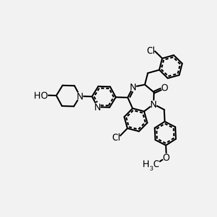 COc1ccc(CN2C(=O)C(Cc3ccccc3Cl)N=C(c3ccc(N4CCC(O)CC4)nc3)c3cc(Cl)ccc32)cc1